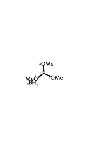 B.COP(OC)OC